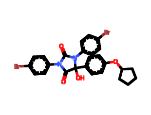 O=C1N(c2ccc(Br)cc2)C(=O)C(O)(c2ccc(OC3CCCC3)cc2)N1c1ccc(Br)cc1